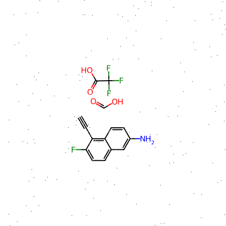 C#Cc1c(F)ccc2cc(N)ccc12.O=C(O)C(F)(F)F.O=CO